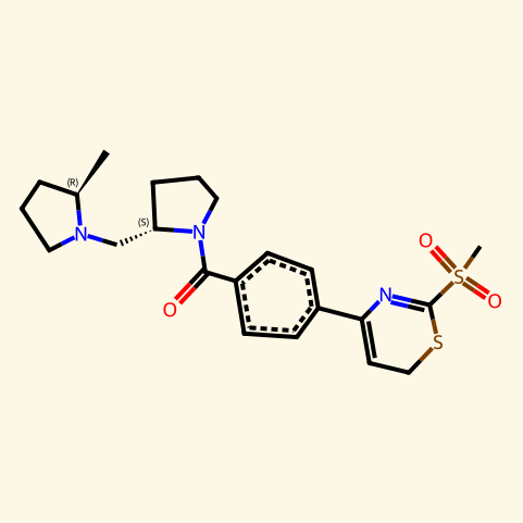 C[C@@H]1CCCN1C[C@@H]1CCCN1C(=O)c1ccc(C2=CCSC(S(C)(=O)=O)=N2)cc1